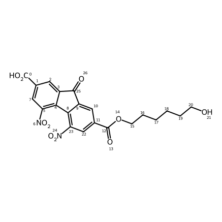 O=C(O)c1cc2c(c([N+](=O)[O-])c1)-c1c(cc(C(=O)OCCCCCCO)cc1[N+](=O)[O-])C2=O